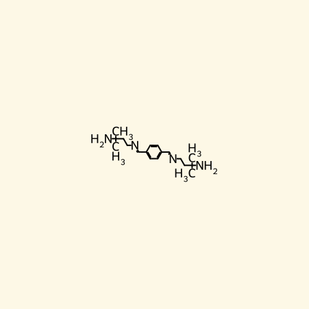 CC(C)(N)CC/N=C/c1ccc(/C=N/CCC(C)(C)N)cc1